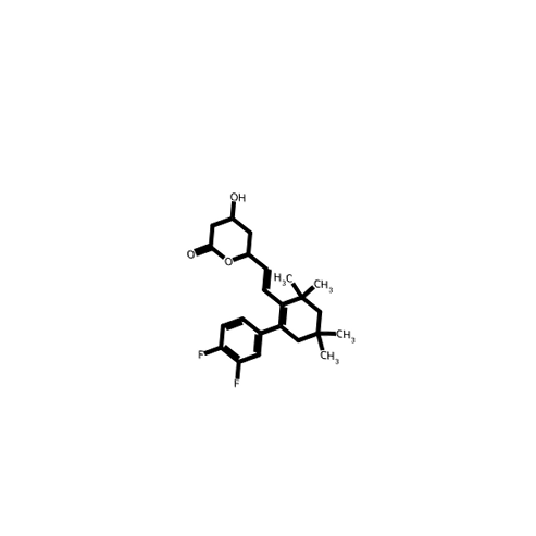 CC1(C)CC(c2ccc(F)c(F)c2)=C(C=CC2CC(O)CC(=O)O2)C(C)(C)C1